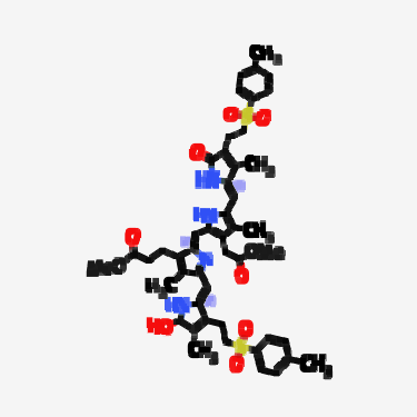 COC(=O)CCC1=C(C)C(/C=C2\NC(O)C(C)=C2CCS(=O)(=O)c2ccc(C)cc2)=NC/1=C\c1[nH]c(/C=C2\NC(=O)C(CCS(=O)(=O)c3ccc(C)cc3)=C2C)c(C)c1CC(=O)OC